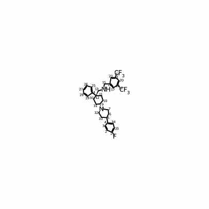 Fc1ccc(C2CCN([C@H]3CC[C@@](CNCc4cc(C(F)(F)F)cc(C(F)(F)F)c4)(c4ccccc4)CC3)CC2)cc1